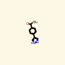 CC(C)(C)C(=O)c1ccc(-c2cn[nH]c2)cc1